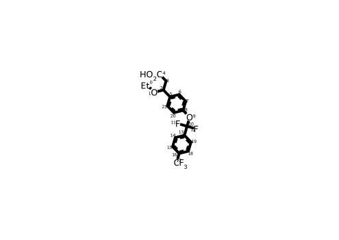 CCOC(CC(=O)O)c1ccc(OC(F)(F)c2ccc(C(F)(F)F)cc2)cc1